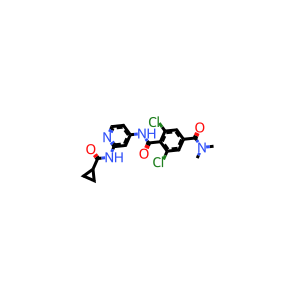 CN(C)C(=O)c1cc(Cl)c(C(=O)Nc2ccnc(NC(=O)C3CC3)c2)c(Cl)c1